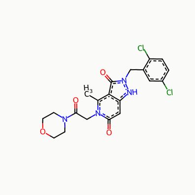 Cc1c2c(=O)n(Cc3cc(Cl)ccc3Cl)[nH]c2cc(=O)n1CC(=O)N1CCOCC1